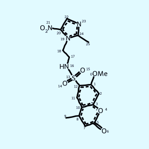 COc1cc2oc(=O)cc(C)c2cc1S(=O)(=O)NCCn1c([N+](=O)[O-])cnc1C